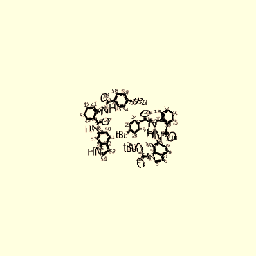 CC(C)(C)OC(=O)n1ccc2ccc(NC(=O)c3ccccc3NC(=O)c3ccc(C(C)(C)C)cc3)cc21.CC(C)(C)c1ccc(C(=O)Nc2ccccc2C(=O)Nc2ccc3cc[nH]c3c2)cc1